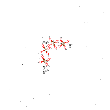 O=S(=O)([O-])[O-].O=S(=O)([O-])[O-].O=S(=O)([O-])[O-].O=S(=O)([O-])[O-].[B+3].[Ca+2].[K+].[Mg+2]